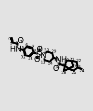 C=CC(=O)Nc1ccc(S(=O)(=O)N2CCC(NC(=O)C34CC5CC(C)CC3(C5)C4)CC2)cc1